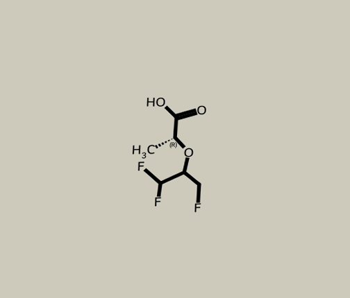 C[C@@H](OC(CF)C(F)F)C(=O)O